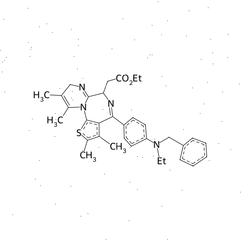 CCOC(=O)CC1N=C(c2ccc(N(CC)Cc3ccccc3)cc2)c2c(sc(C)c2C)N2C1=NCC(C)=C2C